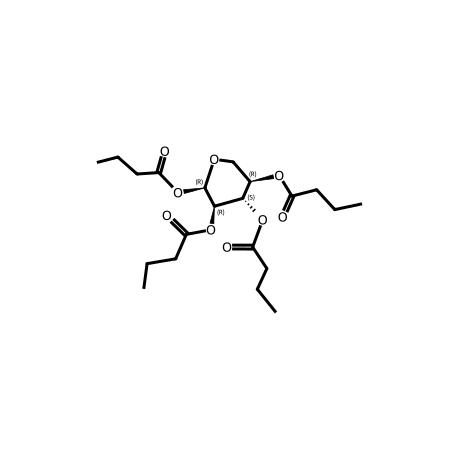 CCCC(=O)O[C@H]1OC[C@@H](OC(=O)CCC)[C@H](OC(=O)CCC)[C@H]1OC(=O)CCC